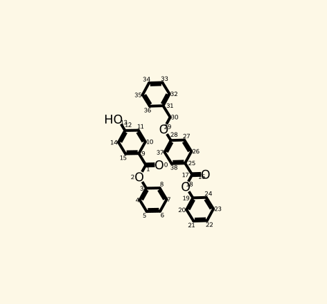 O=C(Oc1ccccc1)c1ccc(O)cc1.O=C(Oc1ccccc1)c1ccc(OCc2ccccc2)cc1